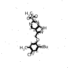 Cc1cc(OCc2n[nH]c3nc(S(C)(=O)=O)ncc23)c(C(C)(C)C)cc1Cl